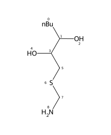 CCCCC(O)C(O)CSCN